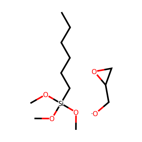 CCCCCC[Si](OC)(OC)OC.[O]CC1CO1